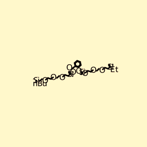 CCCC[Si](C)(C)CCOCCOCCOCC[Si](C)(C)OC(=O)c1ccccc1O[Si](C)(C)OCCOCCOCC[Si](C)(C)CC